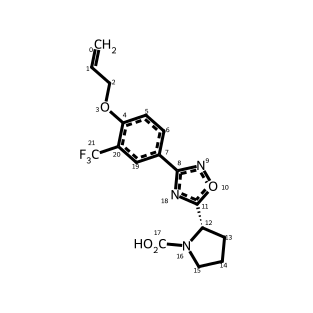 C=CCOc1ccc(-c2noc([C@@H]3CCCN3C(=O)O)n2)cc1C(F)(F)F